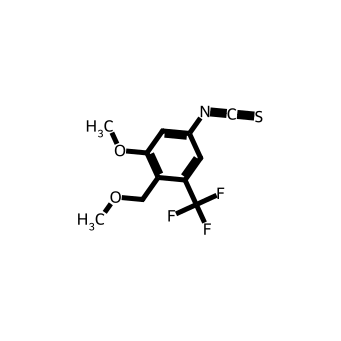 COCc1c(OC)cc(N=C=S)cc1C(F)(F)F